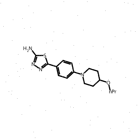 CCCOC1CCN(c2ccc(-c3nnc(N)s3)cc2)CC1